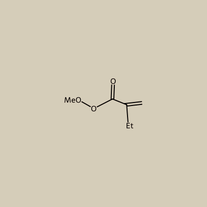 C=C(CC)C(=O)OOC